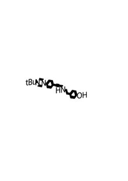 CC(C)(C)N1CCN(c2ccc(C#CCNCCc3ccc(O)cc3)cc2)CC1